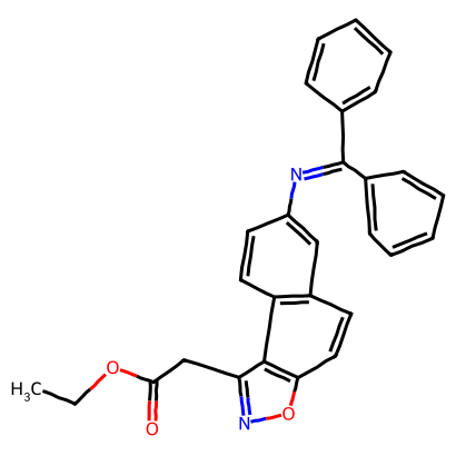 CCOC(=O)Cc1noc2ccc3cc(N=C(c4ccccc4)c4ccccc4)ccc3c12